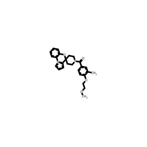 COCCOc1ccc(C(=O)N2CCC3(CC2)Oc2ccccc2-n2cccc23)cc1C